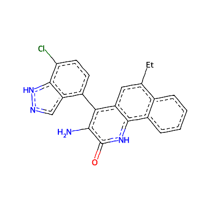 CCc1cc2c(-c3ccc(Cl)c4[nH]ncc34)c(N)c(=O)[nH]c2c2ccccc12